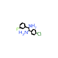 NC(c1ccc(Cl)cc1)C(N)c1cccc(F)c1